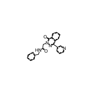 O=C(Cn1nc(-c2cccnc2)c2ccccc2c1=O)NCc1ccccc1